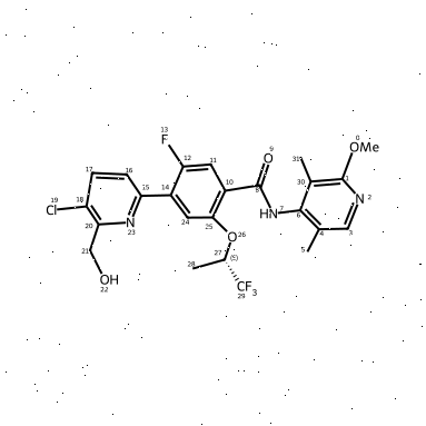 COc1ncc(C)c(NC(=O)c2cc(F)c(-c3ccc(Cl)c(CO)n3)cc2O[C@@H](C)C(F)(F)F)c1C